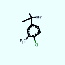 CCCC(C)(C)c1ccc(Cl)c(C(F)(F)F)c1